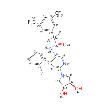 Cc1ccccc1-c1cc(N2C[C@@H](O)[C@@H](O)C2)ncc1N(C)C(=O)C(C)(C)c1cc(C(F)(F)F)cc(C(F)(F)F)c1